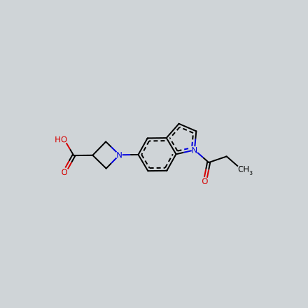 CCC(=O)n1ccc2cc(N3CC(C(=O)O)C3)ccc21